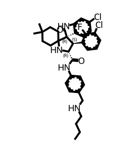 CCCCNCc1ccc(NC(=O)[C@@H]2NC3(CCC(C)(C)CC3)[C@@]3(C(=O)Nc4cc(Cl)ccc43)[C@H]2c2cccc(Cl)c2F)cc1